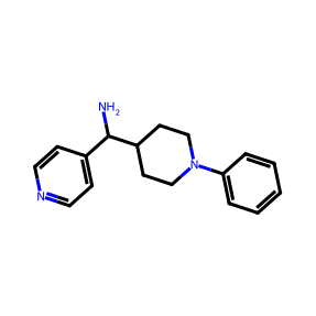 NC(c1ccncc1)C1CCN(c2ccccc2)CC1